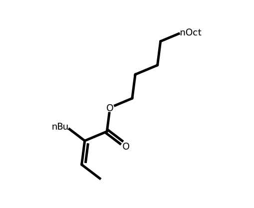 CC=C(CCCC)C(=O)OCCCCCCCCCCCC